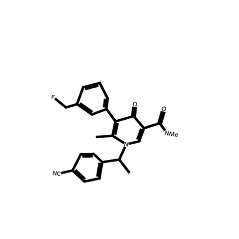 CNC(=O)c1cn(C(C)c2ccc(C#N)cc2)c(C)c(-c2cccc(CF)c2)c1=O